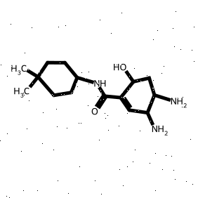 CC1(C)CCC(NC(=O)C2=CC(N)C(N)CC2O)CC1